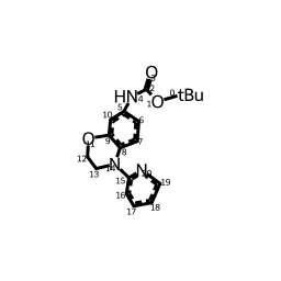 CC(C)(C)OC(=O)Nc1ccc2c(c1)OCCN2c1ccccn1